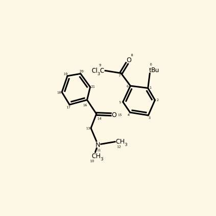 CC(C)(C)c1ccccc1C(=O)C(Cl)(Cl)Cl.CN(C)CC(=O)c1ccccc1